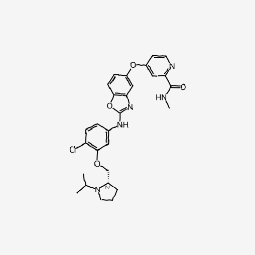 CNC(=O)c1cc(Oc2ccc3oc(Nc4ccc(Cl)c(OC[C@@H]5CCCN5C(C)C)c4)nc3c2)ccn1